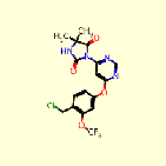 CC1(C)NC(=O)N(c2cc(Oc3ccc(CCl)c(OC(F)(F)F)c3)ncn2)C1=O